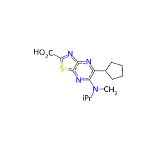 CC(C)N(C)c1nc2sc(C(=O)O)nc2nc1C1CCCC1